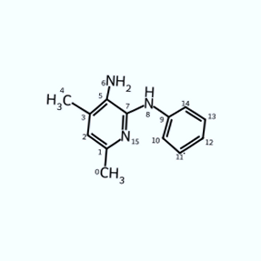 Cc1cc(C)c(N)c(Nc2c[c]ccc2)n1